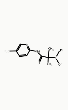 CC(C)[S+]([O-])C(C)(C)C(=O)Nc1ccc(C(F)(F)F)cn1